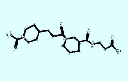 N=C(N)N1CCC(CCC(=O)N2CCCC(C(=O)NCCC(=O)O)C2)CC1